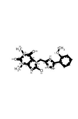 COc1ccccc1-c1noc(Cn2c(Cl)nc3c2c(=O)n(C)c(=O)n3C)n1